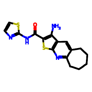 Nc1c(C(=O)Nc2nccs2)sc2nc3c(cc12)CCCCC3